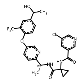 CC(O)c1ccc(Oc2ccc([C@@H](C)NC(=O)C3(NC(=O)c4cncc(Cl)c4)CC3)nc2)c(C(F)(F)F)c1